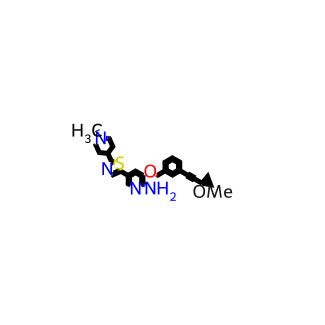 COC1(C#Cc2cccc(COc3cc(-c4cnc(C5CCN(C)CC5)s4)cnc3N)c2)CC1